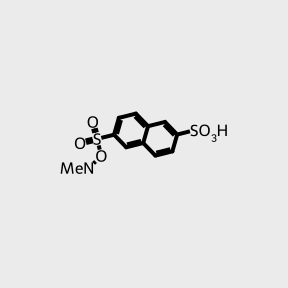 CNOS(=O)(=O)c1ccc2cc(S(=O)(=O)O)ccc2c1